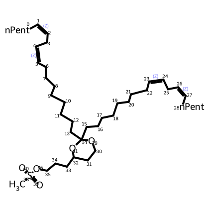 CCCCC/C=C\C/C=C\CCCCCCCCC1(CCCCCCCC/C=C\C/C=C\CCCCC)OCCC(CCCOS(C)(=O)=O)O1